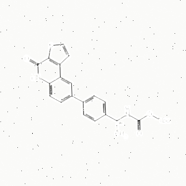 C[C@@H](NC(=O)OC(C)(C)C)c1ccc(-c2ccc3[nH]c(=O)c4sccc4c3c2)cc1